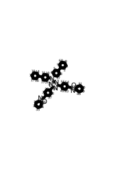 c1ccc(-c2ccc(N(c3ccc(-c4ccccc4)cc3)c3nc(-c4ccc(-c5nc6ccccc6o5)cc4)nc(-c4ccc(-c5nc6ccccc6o5)cc4)n3)cc2)cc1